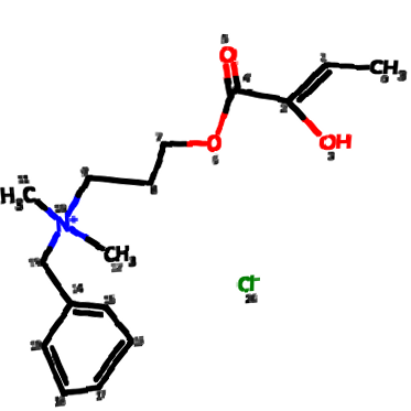 CC=C(O)C(=O)OCCC[N+](C)(C)Cc1ccccc1.[Cl-]